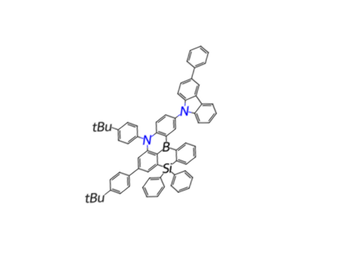 CC(C)(C)c1ccc(-c2cc3c4c(c2)[Si](c2ccccc2)(c2ccccc2)c2ccccc2B4c2cc(-n4c5ccccc5c5cc(-c6ccccc6)ccc54)ccc2N3c2ccc(C(C)(C)C)cc2)cc1